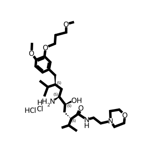 COCCCOc1cc(C[C@@H](C[C@H](N)[C@@H](O)C[C@H](C(=O)NCCN2CCOCC2)C(C)C)C(C)C)ccc1OC.Cl.Cl